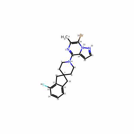 Cc1nc(N2CCC3(CC2)Cc2cccc(F)c2C3)c2ccnn2c1Br